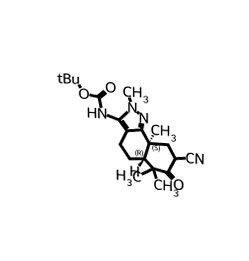 Cn1nc2c(c1NC(=O)OC(C)(C)C)CC[C@H]1C(C)(C)C(=O)C(C#N)C[C@]21C